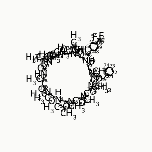 CCC(C)[C@@H]1NC(=O)[C@H](C)N(C)C(=O)C[C@@H](C)NC(=O)[C@H](CC(C)C)N(C)C(=O)C(C)(C)NC(=O)[C@H](CC(C)C)N(C)C(=O)[C@H](CCc2ccc(C(F)(F)F)cc2)NC(=O)CN(C)C(=O)[C@H](C(C)OCc2ccccc2)N(C)C(=O)CN(C)C(=O)CN(C)C1=O